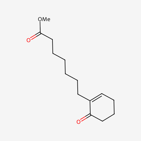 COC(=O)CCCCCCC1=CCCCC1=O